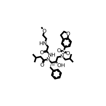 COCCNCC(=O)NN(C(=O)CC(C)C)[C@@H](Cc1ccccc1)[C@H](O)CN(CC(C)C)S(=O)(=O)c1ccc2c(c1)CCO2